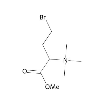 COC(=O)C(CCBr)[N+](C)(C)C